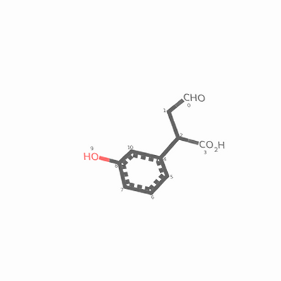 O=CCC(C(=O)O)c1cccc(O)c1